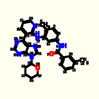 Cc1ccc(NC(=O)c2cccc(C(F)(F)F)c2)cc1Nc1ncccc1-c1ncnc2c1ncn2C1CCCCO1